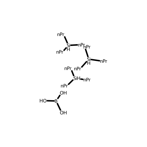 CCC[SiH](CCC)CCC.CCC[SiH](CCC)CCC.CCC[SiH](CCC)CCC.OB(O)O